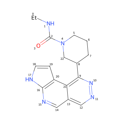 CCNC(=O)N1CCCC(c2nncc3cnc4[nH]ccc4c23)C1